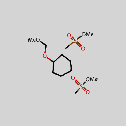 COCOC1CCCCC1.COS(C)(=O)=O.COS(C)(=O)=O